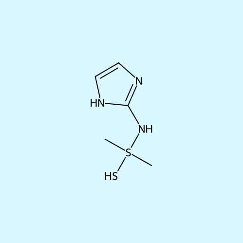 CS(C)(S)Nc1ncc[nH]1